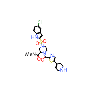 CNC(=O)C1CN(S(=O)(=O)c2cc3cc(Cl)ccc3[nH]2)CCN1C(=O)c1ncc(C2=CCNCC2)s1